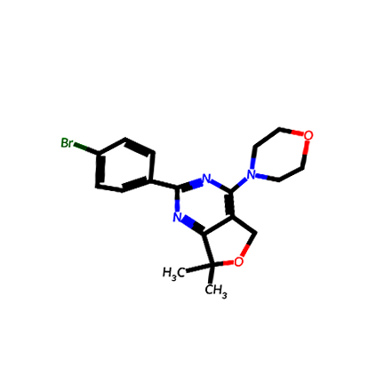 CC1(C)OCc2c(N3CCOCC3)nc(-c3ccc(Br)cc3)nc21